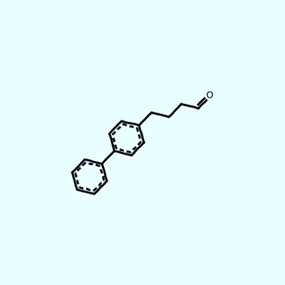 O=CCCCc1ccc(-c2ccccc2)cc1